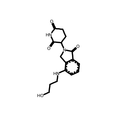 O=C1CCC(N2Cc3c(NCCCO)cccc3C2=O)C(=O)N1